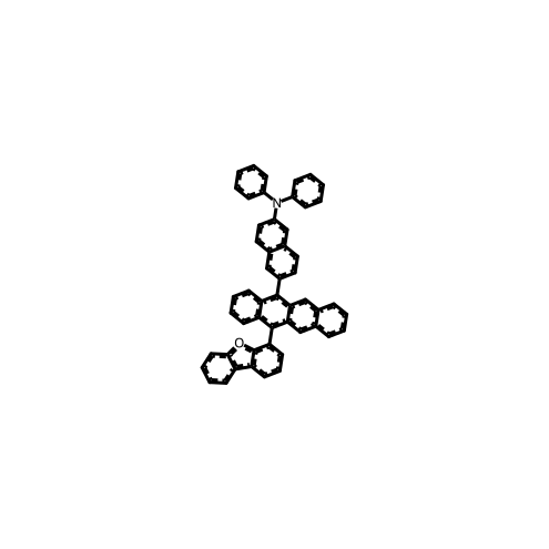 c1ccc(N(c2ccccc2)c2ccc3cc(-c4c5ccccc5c(-c5cccc6c5oc5ccccc56)c5cc6ccccc6cc45)ccc3c2)cc1